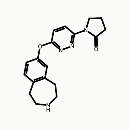 O=C1CCCN1c1ccc(Oc2ccc3c(c2)CCNCC3)nn1